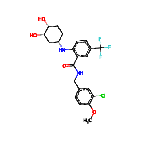 COc1ccc(CNC(=O)c2cc(C(F)(F)F)ccc2N[C@H]2CC[C@@H](O)[C@@H](O)C2)cc1Cl